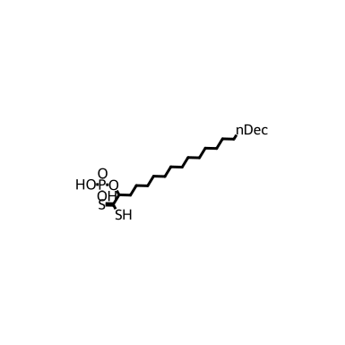 CCCCCCCCCCCCCCCCCCCCCCCC(OP(=O)(O)O)C(=S)S